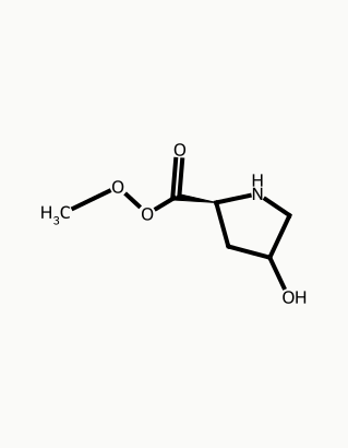 COOC(=O)[C@@H]1CC(O)CN1